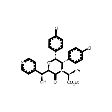 CCC[C@@H](C(=O)OCC)N1C(=O)[C@@H]([C@@H](O)c2ccncc2)O[C@H](c2ccc(Cl)cc2)[C@@H]1c1ccc(Cl)cc1